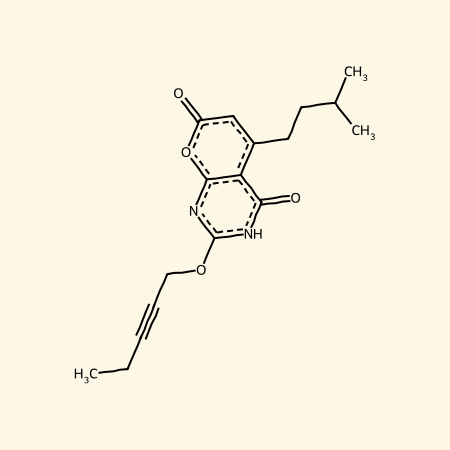 CCC#CCOc1nc2oc(=O)cc(CCC(C)C)c2c(=O)[nH]1